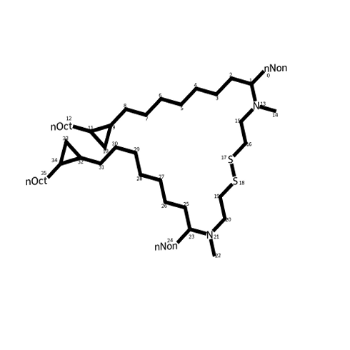 CCCCCCCCCC(CCCCCCCC1CC1CCCCCCCC)N(C)CCSSCCN(C)C(CCCCCCCCC)CCCCCCCC1CC1CCCCCCCC